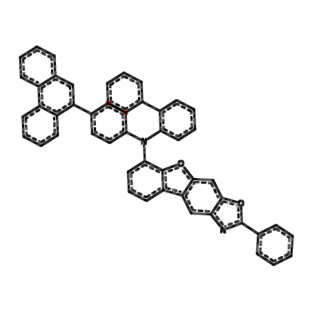 c1ccc(-c2nc3cc4c(cc3o2)oc2c(N(c3ccc(-c5cc6ccccc6c6ccccc56)cc3)c3ccccc3-c3ccccc3)cccc24)cc1